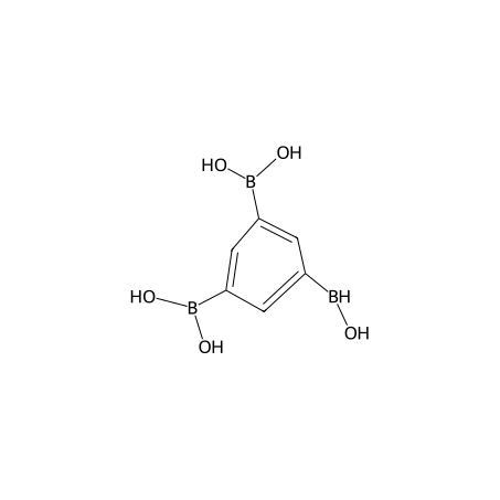 OBc1cc(B(O)O)cc(B(O)O)c1